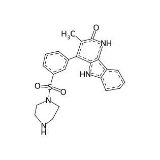 Cc1c(-c2cccc(S(=O)(=O)N3CCNCC3)c2)c2[nH]c3ccccc3c2[nH]c1=O